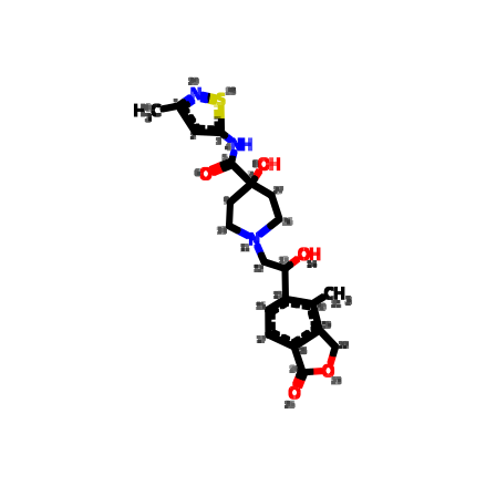 Cc1cc(NC(=O)C2(O)CCN(CC(O)c3ccc4c(c3C)COC4=O)CC2)sn1